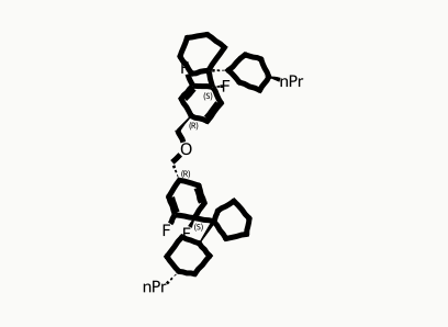 CCC[C@H]1CC[C@H](C2([C@@]3(F)C=C[C@@H](COC[C@@H]4C=C[C@](F)(C5([C@H]6CC[C@H](CCC)CC6)CCCCC5)C(F)=C4)C=C3F)CCCCC2)CC1